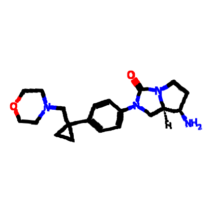 N[C@@H]1CCN2C(=O)N(c3ccc(C4(CN5CCOCC5)CC4)cc3)C[C@H]12